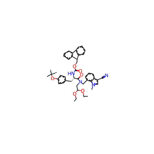 CCOC(CN(Cc1cccc2c(C#N)cn(C)c12)C(=O)[C@H](Cc1ccc(OC(C)(C)C)cc1)NC(=O)OCC1c2ccccc2-c2ccccc21)OCC